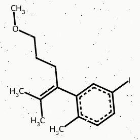 COCCCC(=C(C)C)c1cc(I)ccc1C